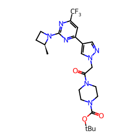 C[C@H]1CCN1c1nc(-c2cnn(CC(=O)N3CCN(C(=O)OC(C)(C)C)CC3)c2)cc(C(F)(F)F)n1